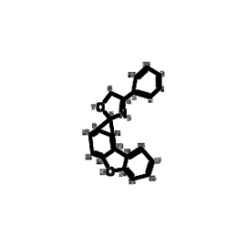 c1ccc(C2=NC3(OC2)c2ccc4oc5ccccc5c4c23)cc1